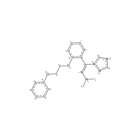 CN(C)N=C(c1ccccc1OCCOc1ccccc1)n1cncn1